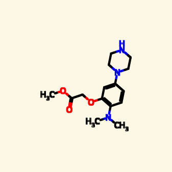 COC(=O)COc1cc(N2CCNCC2)ccc1N(C)C